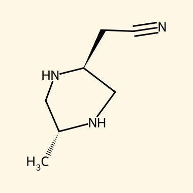 C[C@@H]1CN[C@@H](CC#N)CN1